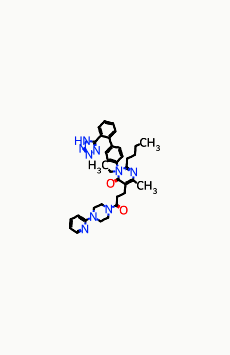 CCCCC1=NC(C)=C(CCC(=O)N2CCN(c3ccccn3)CC2)C(=O)[N+]1(CC)c1ccc(-c2ccccc2-c2nnn[nH]2)cc1